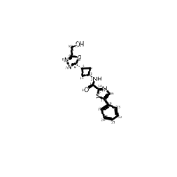 O=C(N[C@H]1C[C@@H](c2nnc(CO)o2)C1)c1ncc(-c2ccccc2)s1